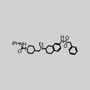 CCN(CC1CCN(C(=O)NC(C)C)CC1)C1CCc2ccc(NS(=O)(=O)Cc3ccccc3)cc2C1